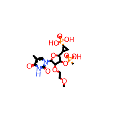 COCCOC1C(OP(C)(=O)O)C(C2CC2P(=O)(O)O)OC1n1cc(C)c(=O)[nH]c1=O